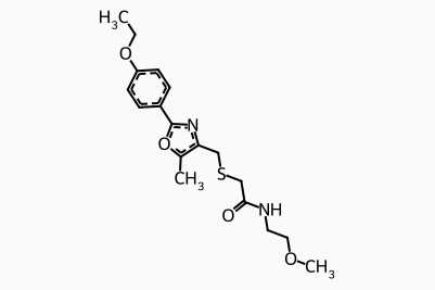 CCOc1ccc(-c2nc(CSCC(=O)NCCOC)c(C)o2)cc1